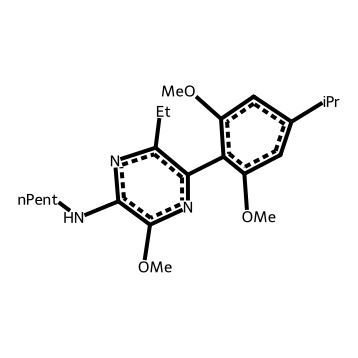 CCCCCNc1nc(CC)c(-c2c(OC)cc(C(C)C)cc2OC)nc1OC